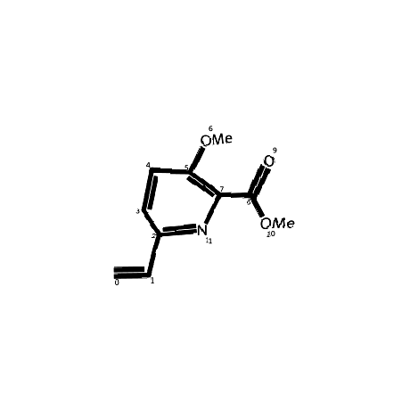 C=Cc1ccc(OC)c(C(=O)OC)n1